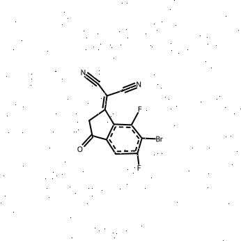 N#CC(C#N)=C1CC(=O)c2cc(F)c(Br)c(F)c21